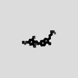 CCCCN1Cc2cc(NCc3c(Cl)cc(C)nc3Cl)ccc2C1=O